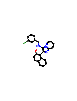 Oc1ccc2ccccc2c1-c1nc2ccccn2c1NCc1cccc(Cl)c1